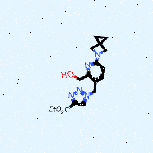 CCOC(=O)c1cn(Cc2ccc(N3CC4(CC4)C3)nc2CO)nn1